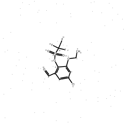 CCOc1cc(Cl)cc(C=O)c1OS(=O)(=O)C(F)(F)F